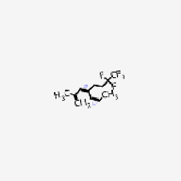 C=C(C)/C=C(\C=C/C)CCC(F)(F)C(F)(F)F